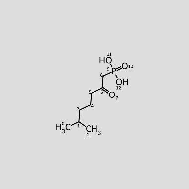 CC(C)CCCC(=O)CP(=O)(O)O